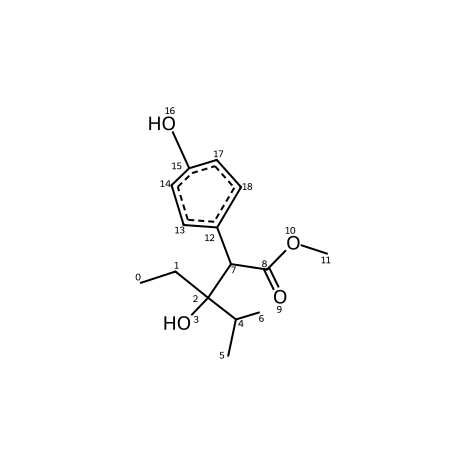 CCC(O)(C(C)C)C(C(=O)OC)c1ccc(O)cc1